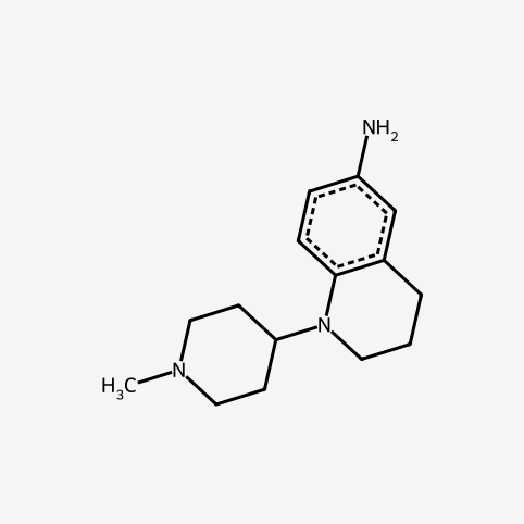 CN1CCC(N2CCCc3cc(N)ccc32)CC1